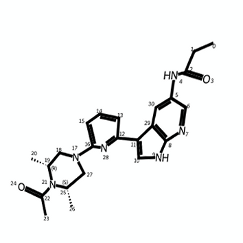 CCC(=O)Nc1cnc2[nH]cc(-c3cccc(N4C[C@@H](C)N(C(C)=O)[C@@H](C)C4)n3)c2c1